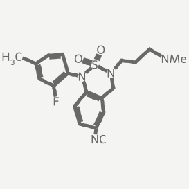 [C-]#[N+]c1ccc2c(c1)CN(CCCNC)S(=O)(=O)N2c1ccc(C)cc1F